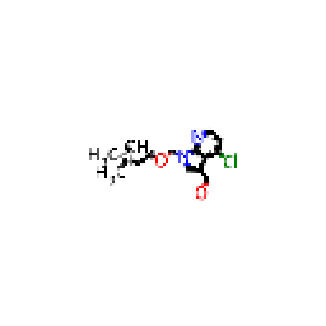 C[Si](C)(C)CCOCn1cc(C=O)c2c(Cl)ccnc21